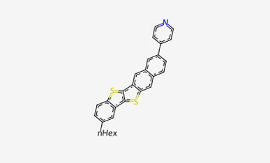 CCCCCCc1ccc2sc3c4cc5cc(-c6ccncc6)ccc5cc4sc3c2c1